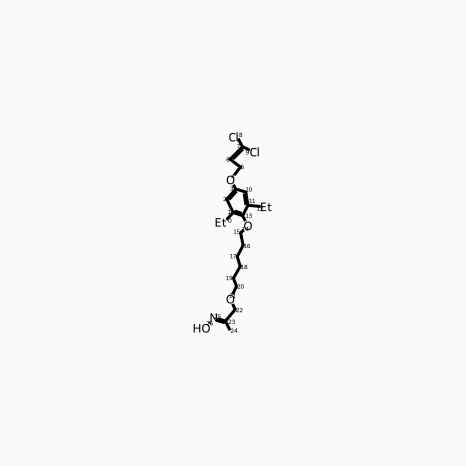 CCc1cc(OCC=C(Cl)Cl)cc(CC)c1OCCCCCCOCC(C)=NO